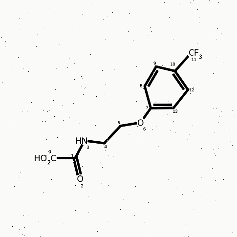 O=C(O)C(=O)NCCOc1ccc(C(F)(F)F)cc1